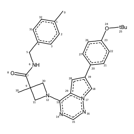 Cc1ccc(CNC(=O)C2(C)CN(c3ncnn4cc(-c5ccc(OC(C)(C)C)cc5)cc34)C2)cc1